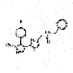 CC(C)(C)n1ncc(-c2nc(CC(=O)NCc3ccccc3)cs2)c1-c1ccc(F)cc1